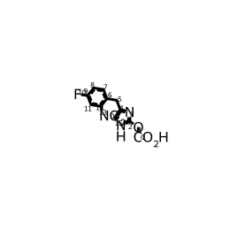 O=C(O)Oc1nc(Cc2ccc(F)cc2[N+](=O)[O-])c[nH]1